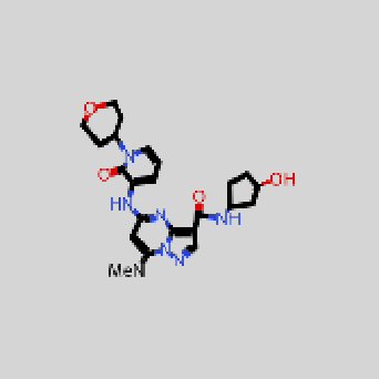 CNc1cc(Nc2cccn(C3CCOCC3)c2=O)nc2c(C(=O)N[C@H]3CC[C@@H](O)C3)cnn12